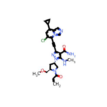 C=CC(=O)N1C[C@@H](n2nc(C#Cc3c(Cl)cc(C4CC4)c4cncn34)c(C(N)=O)c2NC)C[C@@H]1COC